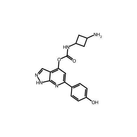 NC1CC(NC(=O)Oc2cc(-c3ccc(O)cc3)nc3[nH]ncc23)C1